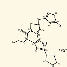 CCCN1C(=O)N2CC(Cc3csc(C)n3)N=C2c2[nH]c(C3CCCC3)nc21.Cl